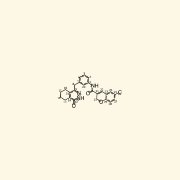 O=C(Nc1cccc(Cc2n[nH]c(=O)c3c2CCCC3)c1)C1=Cc2cc(Cl)ccc2OC1